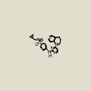 O=S(=O)(NCC1CC1)c1ccc(Nc2nccc(N3CCCc4ccccc43)n2)cc1